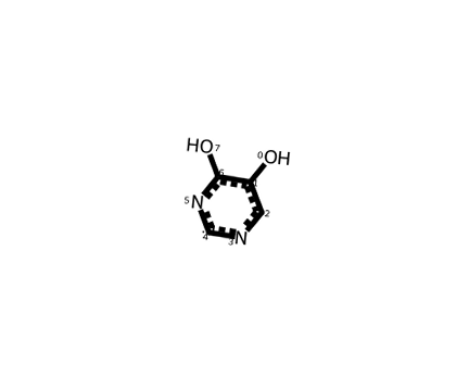 Oc1cn[c]nc1O